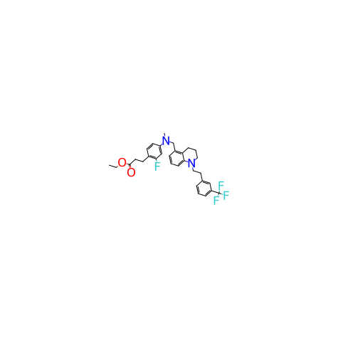 CCOC(=O)CCc1ccc(N(C)Cc2cccc3c2CCCN3CCc2cccc(C(F)(F)F)c2)cc1F